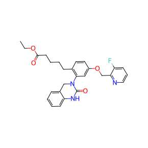 CCOC(=O)CCCCc1ccc(OCc2ncccc2F)cc1N1Cc2ccccc2NC1=O